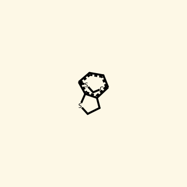 c1cc2c3c(c1CCS2)CCS3